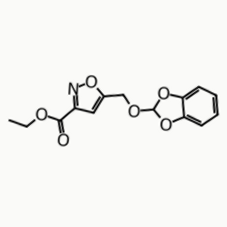 CCOC(=O)c1cc(COC2Oc3ccccc3O2)on1